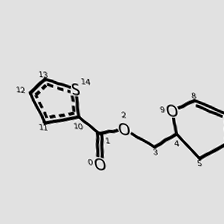 O=C(OCC1CCC=CO1)c1cccs1